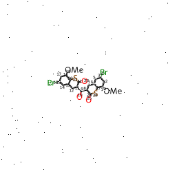 COc1cc(Br)cc2cc(C(=O)c3cc4cc(Br)cc(OC)c4sc3=O)c(=O)sc12